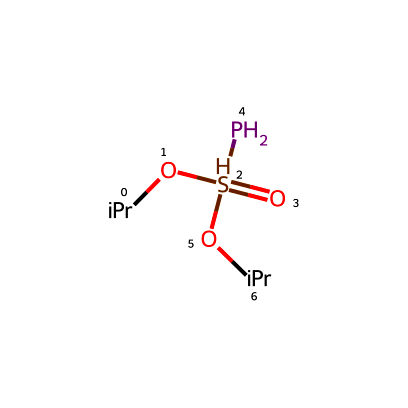 CC(C)O[SH](=O)(P)OC(C)C